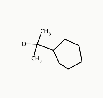 CC(C)([O])C1CCCCC1